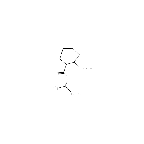 CCCCCCCCCC(CCC)OC(=O)C1CCCCC1C(=O)O